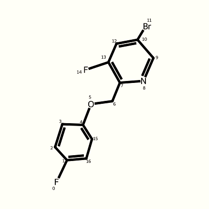 Fc1ccc(OCc2ncc(Br)cc2F)cc1